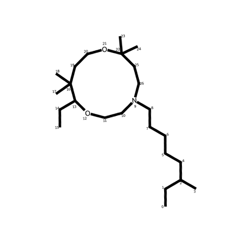 CCC(C)CCCCCN1CCOC(CC)C(C)(C)CCOC(C)(C)CC1